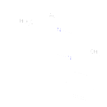 CC(=O)N1C[C@H](C)N(c2ccccc2)C[C@@H]1CC(=O)O